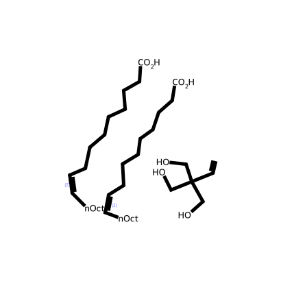 C=CC(CO)(CO)CO.CCCCCCCC/C=C\CCCCCCCC(=O)O.CCCCCCCC/C=C\CCCCCCCC(=O)O